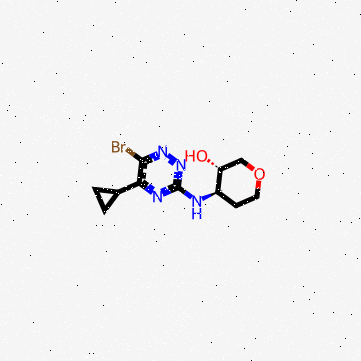 O[C@@H]1COCC[C@H]1Nc1nnc(Br)c(C2CC2)n1